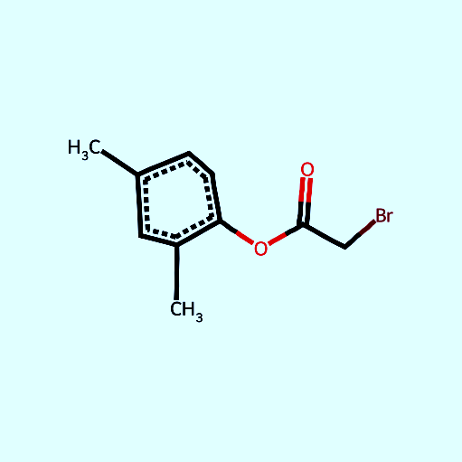 Cc1ccc(OC(=O)CBr)c(C)c1